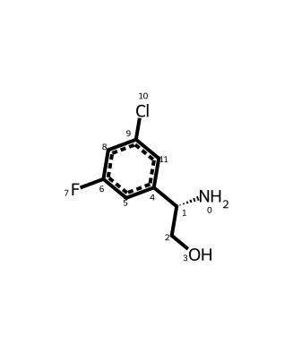 N[C@H](CO)c1cc(F)cc(Cl)c1